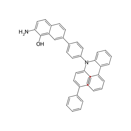 Nc1ccc2ccc(-c3ccc(N(c4ccc(-c5ccccc5)cc4)c4ccccc4-c4ccccc4)cc3)cc2c1O